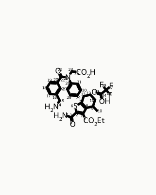 CCOC(=O)c1c(C(N)=O)sc2c1C(C)CCC2.NCc1cccc(C(=O)N(CC(=O)O)c2ccccc2)c1.O=C(O)C(F)(F)F